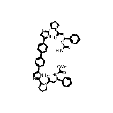 COC(=O)N[C@H](CC(=O)N1CCCC1c1ncc(-c2ccc(-c3ccc(-c4cnc([C@@H]5CCCN5C(=O)C[C@@H](OC(N)=O)c5ccccc5)[nH]4)cc3)cc2)[nH]1)c1ccccc1